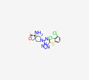 C[C@H]1OCC2(CCN(c3ncc(Sc4cccc(Cl)c4Cl)c4ncnn34)CC2)[C@H]1N